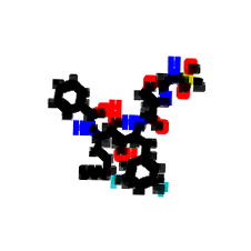 CSCC[C@@H](NC(=O)c1ccccc1)[C@@H](O)[C@H](O)[C@H](Cc1cc(F)cc(F)c1)NC(=O)c1coc(NS(C)(=O)=O)n1